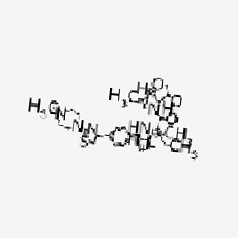 CCC(C)(C)[C@H](NC(=O)c1ccc(-c2csc(N3CCN(C)CC3)n2)cc1)C(=O)N1C[C@@H](C)[C@H]2OCC(=O)[C@H]21